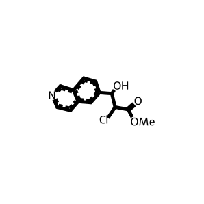 COC(=O)C(Cl)C(O)c1ccc2cnccc2c1